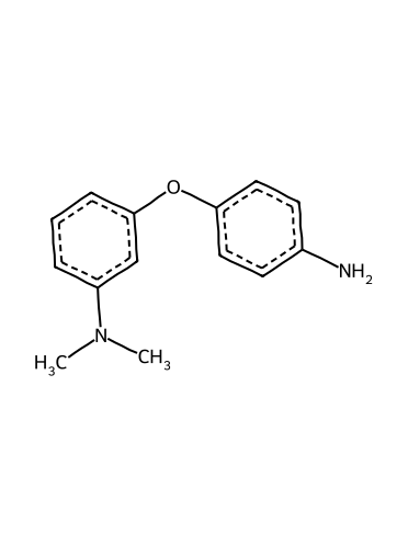 CN(C)c1cccc(Oc2ccc(N)cc2)c1